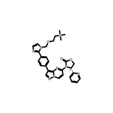 C[Si](C)(C)CCOCn1ccnc1-c1ccc(-c2cnn3ccc(N4C(=O)OC[C@@H]4c4ccccn4)nc23)cc1